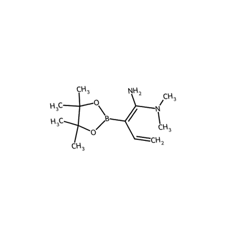 C=C/C(B1OC(C)(C)C(C)(C)O1)=C(/N)N(C)C